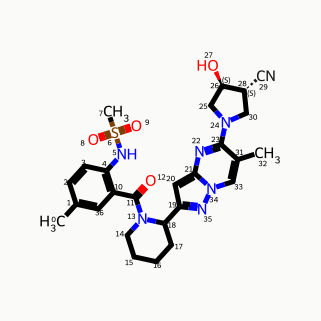 Cc1ccc(NS(C)(=O)=O)c(C(=O)N2CCCCC2c2cc3nc(N4C[C@@H](O)[C@H](C#N)C4)c(C)cn3n2)c1